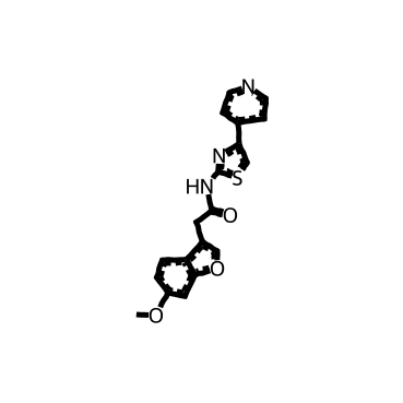 COc1ccc2c(CC(=O)Nc3nc(-c4ccncc4)cs3)coc2c1